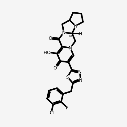 O=C1c2c(O)c(=O)c(-c3nnc(Cc4cccc(Cl)c4F)s3)cn2C[C@@H]2N1CC1CCCN12